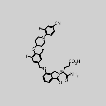 N#Cc1ccc(N2CCC(Sc3c(F)cc(COc4cccc5c4CN([C@@H](CCC(=O)O)C(N)=O)C5=O)cc3F)CC2)c(F)c1